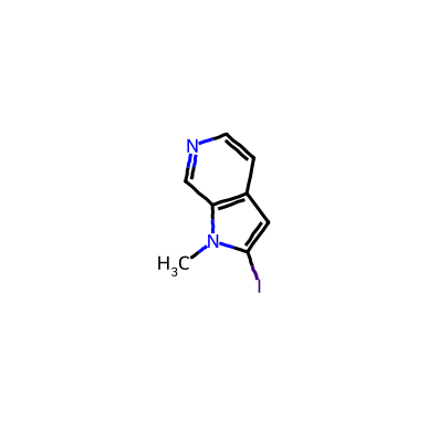 Cn1c(I)cc2ccncc21